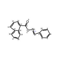 O=C(O/N=C/c1ccccc1)c1cccc2ccccc12